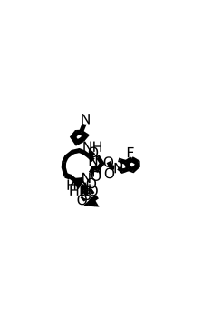 CC1(S(=O)(=O)NC(=O)[C@@]23C[C@@H]2/C=C\CCCCC[C@H](Nc2cccc(C#N)c2)C(=O)N2C[C@H](OC(=O)N4Cc5cccc(F)c5C4)C[C@H]2C(=O)N3)CC1